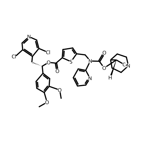 COc1ccc([C@H](Cc2c(Cl)cncc2Cl)OC(=O)c2ccc(CN(C(=O)O[C@H]3CN4CCC3CC4)c3ccccn3)s2)cc1OC